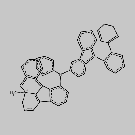 C[C@]12C=c3ccccc3=C3C1=C(C=CC2)c1cccc(N(c2ccccc2)c2ccc4c(c2)c2ccccc2n4-c2ccccc2C2=CCCC=C2)c13